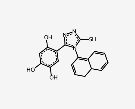 Oc1cc(O)c(-c2nnc(S)n2C2=C3C=CC=CC3CC=C2)cc1O